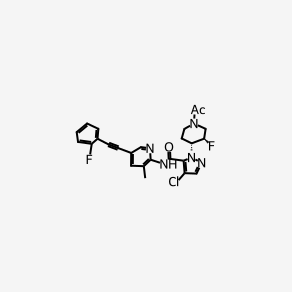 CC(=O)N1CC[C@@H](n2ncc(Cl)c2C(=O)Nc2ncc(C#Cc3ccccc3F)cc2C)[C@H](F)C1